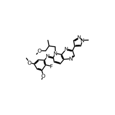 COCC(C)Cn1/c(=N/c2cc(OC)cc(OC)c2F)ccc2ncc(-c3cnn(C)c3)nc21